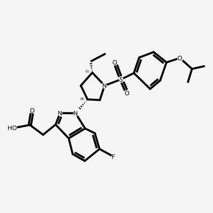 CC[C@H]1C[C@@H](n2nc(CC(=O)O)c3ccc(F)cc32)CN1S(=O)(=O)c1ccc(OC(C)C)cc1